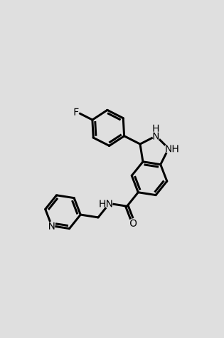 O=C(NCc1cccnc1)c1ccc2c(c1)C(c1ccc(F)cc1)NN2